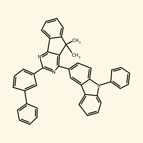 CC1(C)c2ccccc2-c2nc(-c3cccc(-c4ccccc4)c3)nc(-c3ccc4c(c3)c3ccccc3n4-c3ccccc3)c21